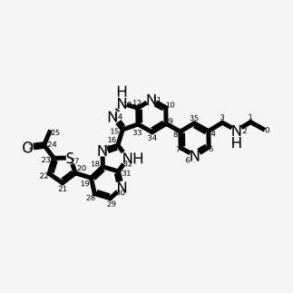 CCNCc1cncc(-c2cnc3[nH]nc(-c4nc5c(-c6ccc(C(C)=O)s6)ccnc5[nH]4)c3c2)c1